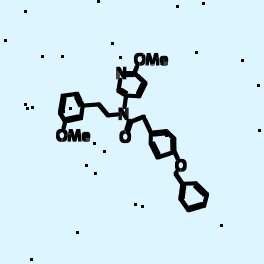 COc1cccc(CCN(C(=O)Cc2ccc(OCc3ccccc3)cc2)c2ccc(OC)nc2)c1